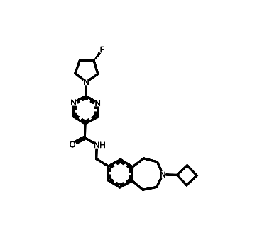 O=C(NCc1ccc2c(c1)CCN(C1CCC1)CC2)c1cnc(N2CC[C@@H](F)C2)nc1